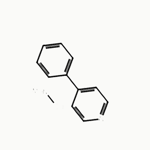 CNC.c1ccc(-c2ccncc2)cc1